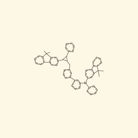 CC1(C)c2ccccc2-c2ccc(C3C(Cc4cccc(-c5cccc(N(c6ccccc6)c6ccc7c(c6)C(C)(C)c6ccccc6-7)c5)c4)C3c3ccccc3)cc21